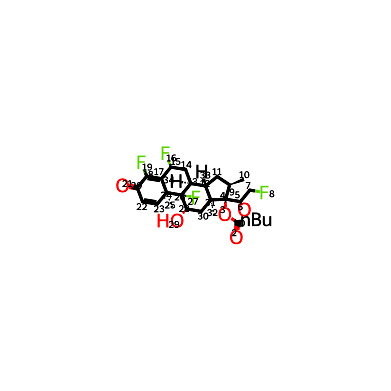 CCCCC(=O)O[C@]1(C(=O)CF)[C@H](C)C[C@H]2[C@@H]3C[C@H](F)C4=C(F)C(=O)C=C[C@]4(C)[C@@]3(F)[C@@H](O)C[C@@]21C